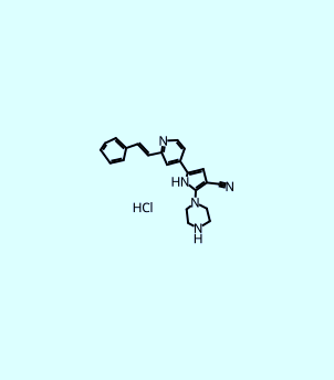 Cl.N#Cc1cc(-c2ccnc(C=Cc3ccccc3)c2)[nH]c1N1CCNCC1